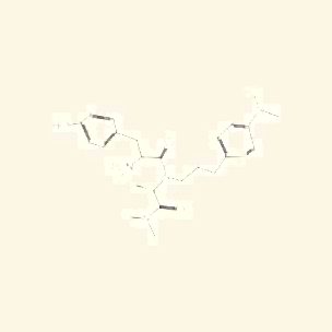 C[C@H](C(=O)N(C)C)N(CCCc1ccc(N(C)C)cc1)C(=O)C(N)Cc1ccc(O)cc1